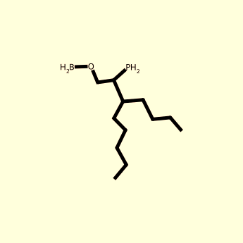 BOCC(P)C(CCCC)CCCCC